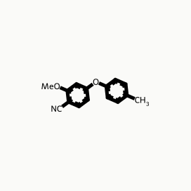 COc1cc(Oc2ccc(C)cc2)ccc1C#N